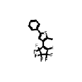 Cc1sc(-c2ccccc2)cc1C1=C(I)C(F)(F)C(F)(F)C1(F)F